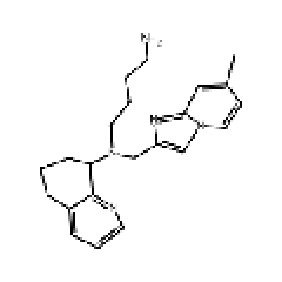 Cc1ccn2cc(CN(CCCCN)C3CCCc4cccnc43)nc2c1